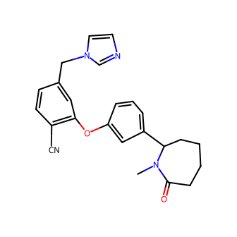 CN1C(=O)CCCCC1c1cccc(Oc2cc(Cn3ccnc3)ccc2C#N)c1